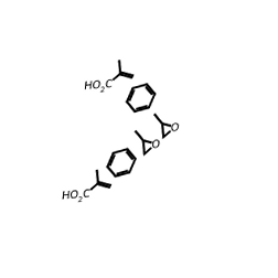 C=C(C)C(=O)O.C=C(C)C(=O)O.CC1CO1.CC1CO1.c1ccccc1.c1ccccc1